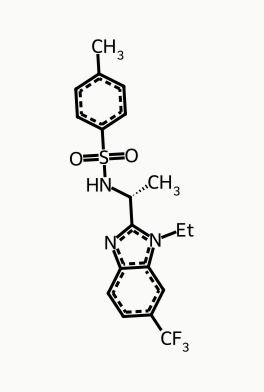 CCn1c([C@@H](C)NS(=O)(=O)c2ccc(C)cc2)nc2ccc(C(F)(F)F)cc21